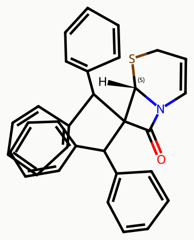 O=C1N2C=CCS[C@H]2C1(C(c1ccccc1)c1ccccc1)C(c1ccccc1)c1ccccc1